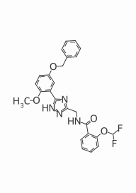 COc1ccc(OCc2ccccc2)cc1-c1nc(CNC(=O)c2ccccc2OC(F)F)n[nH]1